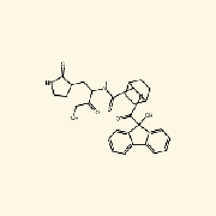 O=C1NCCC1CC(NC(=O)C1C2CCC(CC2)N1C(=O)C1(O)c2ccccc2-c2ccccc21)C(=O)CO